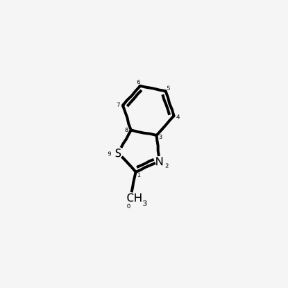 CC1=NC2C=CC=CC2S1